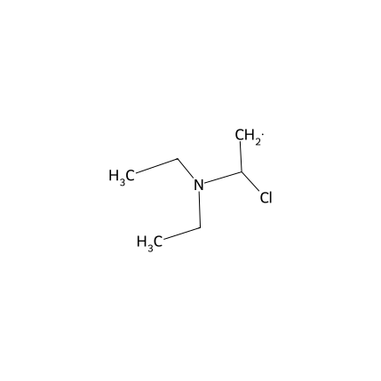 [CH2]C(Cl)N(CC)CC